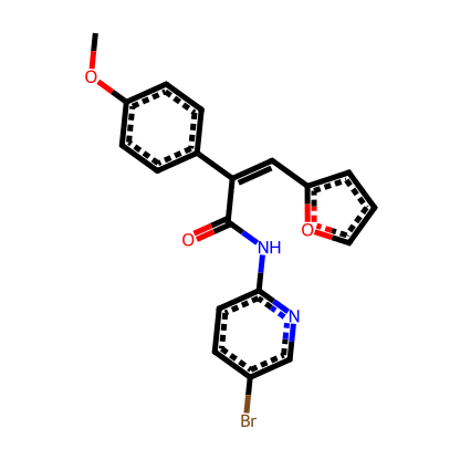 COc1ccc(/C(=C/c2ccco2)C(=O)Nc2ccc(Br)cn2)cc1